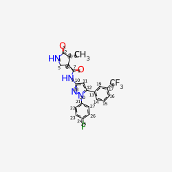 C[C@H]1C(=O)NC[C@@H]1C(=O)Nc1cc(-c2cccc(C(F)(F)F)c2)n(-c2ccc(F)cc2)n1